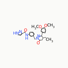 CCC1CC(=O)N(Cc2cccc(NC(=O)c3cc[nH]n3)c2)N=C1c1ccc(OC)c(OC)c1